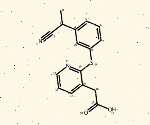 CC(C#N)c1cccc(Sc2ncccc2CC(=O)O)c1